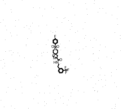 O=C(NCCc1cccc(C(F)(F)F)c1)C1=NOC2(CCN(S(=O)(=O)c3ccc(F)cc3)CC2)C1